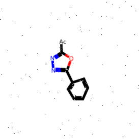 CC(=O)c1nnc(-c2ccccc2)o1